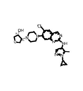 Cc1c(Nc2ncc3cc(Cl)c(N4CCN([C@@H]5COC[C@@H]5O)CC4)cc3n2)cnn1C1CC1